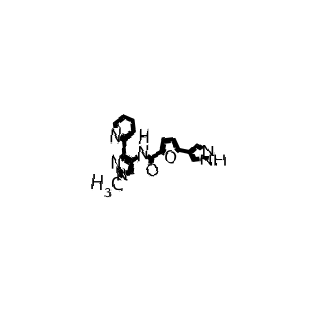 Cn1cc(NC(=O)c2ccc(-c3cn[nH]c3)o2)c(-c2ccccn2)n1